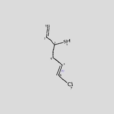 C=CC(S)C/C=C/Cl